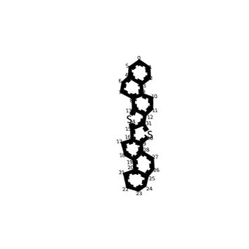 c1ccc2c(c1)ccc1c2ccc2c1sc1c3ccc4c5ccccc5ccc4c3sc21